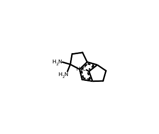 Cc1c2cc3c(c1CC2)CCC3(N)N